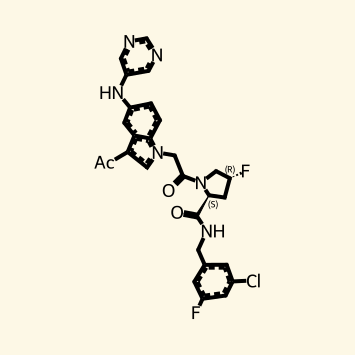 CC(=O)c1cn(CC(=O)N2C[C@H](F)C[C@H]2C(=O)NCc2cc(F)cc(Cl)c2)c2ccc(Nc3cncnc3)cc12